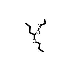 CCCOC(CCC)O[N]CC